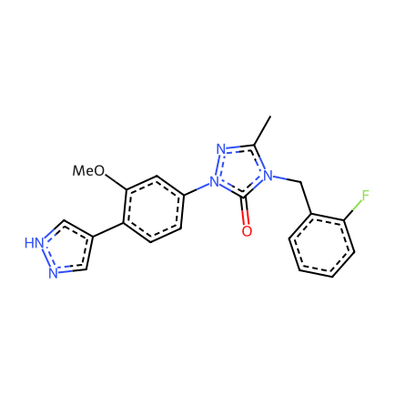 COc1cc(-n2nc(C)n(Cc3ccccc3F)c2=O)ccc1-c1cn[nH]c1